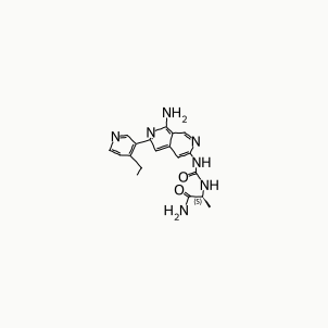 CCc1ccncc1-c1cc2cc(NC(=O)N[C@@H](C)C(N)=O)ncc2c(N)n1